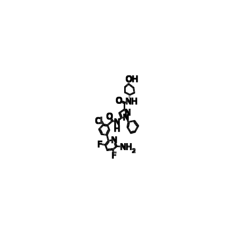 Nc1nc(-c2ccc(Cl)c(C(=O)Nc3cc(C(=O)N[C@H]4CC[C@@H](O)CC4)nn3-c3ccccc3)c2)c(F)cc1F